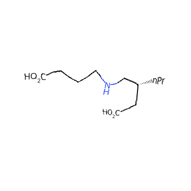 CCC[C@@H](CNCCCC(=O)O)CC(=O)O